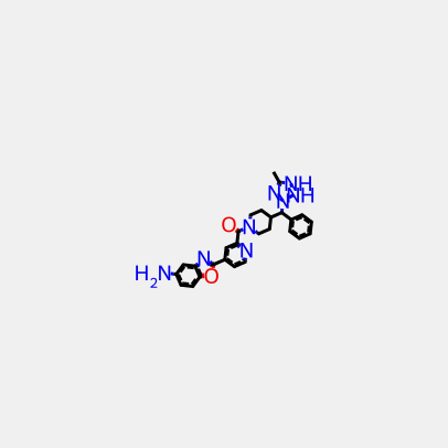 CC1=NN(C(c2ccccc2)C2CCN(C(=O)c3cc(-c4nc5cc(N)ccc5o4)ccn3)CC2)NN1